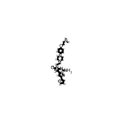 CN(C)CCOc1ccc(N2CCN(CCn3c(=O)sc4c3nc(N)n3nc(-c5ccco5)cc43)CC2)cc1